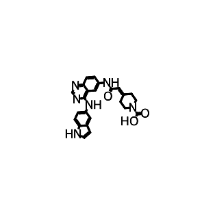 O=C(C=C1CCN(C(=O)O)CC1)Nc1ccc2ncnc(Nc3ccc4[nH]ccc4c3)c2c1